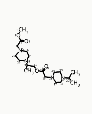 COC(=O)CN1CCN(C(C)COC(=O)CN2CCN(C(C)C)CC2)CC1